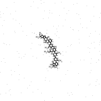 C=CC(=O)Nc1cc(Nc2nc(-c3ccnc(N4CCn5c(cc6c5CC(C)(C)C6)C4=O)c3CO)cn(C)c2=O)ccc1N1CCN(C2CCN(c3cccc4c3C(=O)NC4(C)C)[C@@H](C)C2)C[C@@H]1C